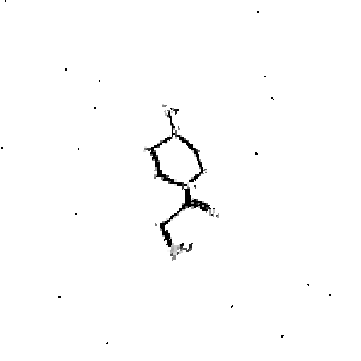 CCCN1CCN(C(=O)CC(C)(C)C)CC1